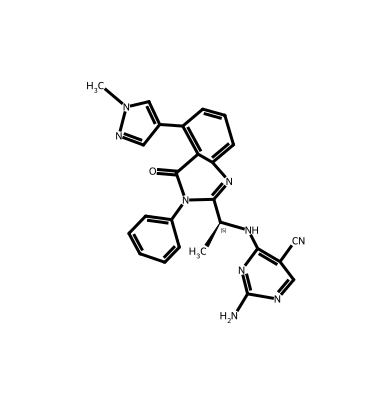 C[C@H](Nc1nc(N)ncc1C#N)c1nc2cccc(-c3cnn(C)c3)c2c(=O)n1-c1ccccc1